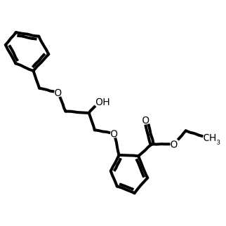 CCOC(=O)c1ccccc1OCC(O)COCc1ccccc1